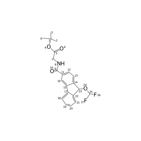 CC(C)(C)OC(=O)CNC(=O)c1ccc2c(c1)-c1ccccc1C2OC(F)F